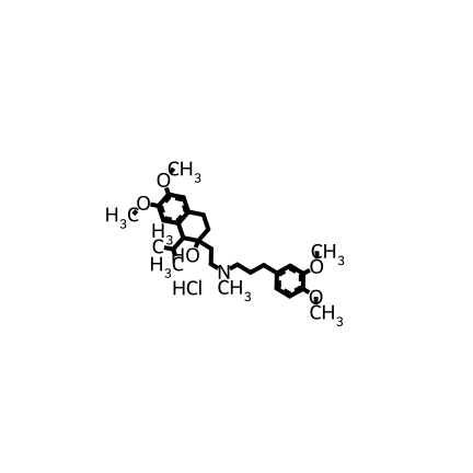 COc1ccc(CCCN(C)CCC2(O)CCc3cc(OC)c(OC)cc3C2C(C)C)cc1OC.Cl